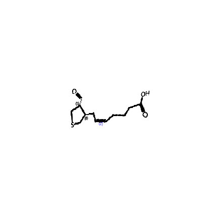 O=C[C@H]1CSC[C@@H]1C/C=C\CCCC(=O)O